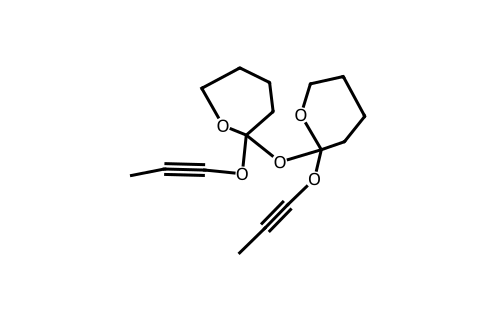 CC#COC1(OC2(OC#CC)CCCCO2)CCCCO1